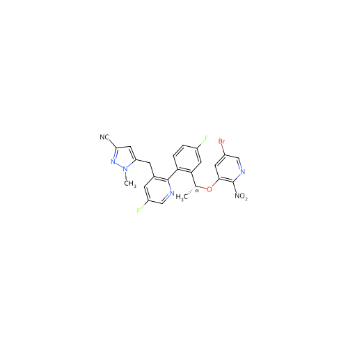 C[C@@H](Oc1cc(Br)cnc1[N+](=O)[O-])c1cc(F)ccc1-c1ncc(F)cc1Cc1cc(C#N)nn1C